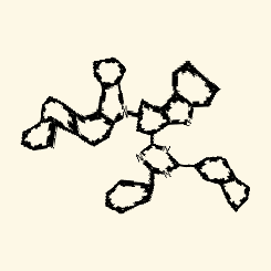 c1ccc(-c2nc(-c3ccc4ccccc4c3)nc(-c3cc(-n4c5ccccc5c5c6ccc7ccccc7c6ccc54)cc4c3sc3ccccc34)n2)cc1